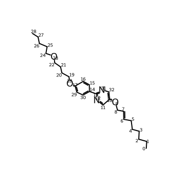 CCCCCC/C=C/COc1cnc(-c2ccc(OCCCCOCCCCC)cc2)nc1